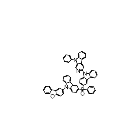 O=P(c1ccccc1)(c1ccc2c(c1)c1ccccc1n2-c1ccc2oc3ccccc3c2c1)c1ccc2c(c1)c1ccccc1n2-c1cc2c3ccccc3n(-c3ccccc3)c2cn1